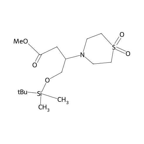 COC(=O)CC(CO[Si](C)(C)C(C)(C)C)N1CCS(=O)(=O)CC1